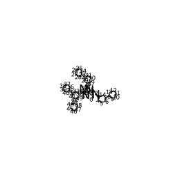 C/C(=N\c1cccc(-c2ccccc2)c1)c1nc(-c2cccc(-c3ccccc3)c2)nc(-c2cc(-c3ccccc3)cc(-c3ccccc3)c2)n1